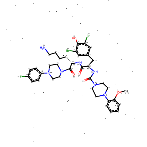 COc1ccccc1N1CCN(C(=O)N[C@H](Cc2cc(Br)c(O)c(Br)c2)C(=O)N[C@@H](CCCCN)C(=O)N2CCN(c3ccc(F)cc3)CC2)CC1